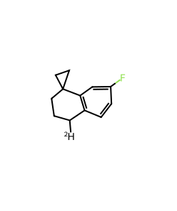 [2H]C1CCC2(CC2)c2cc(F)ccc21